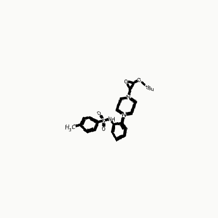 Cc1ccc(S(=O)(=O)Nc2ccccc2N2CCN(C3OC3OC(C)(C)C)CC2)cc1